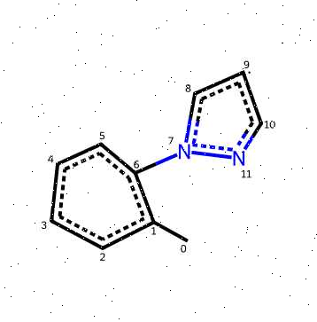 Cc1ccccc1-n1c[c]cn1